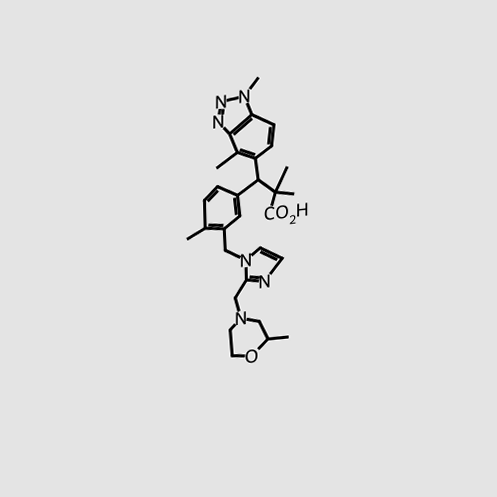 Cc1ccc(C(c2ccc3c(nnn3C)c2C)C(C)(C)C(=O)O)cc1Cn1ccnc1CN1CCOC(C)C1